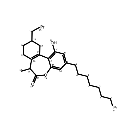 CC(C)CCCCCCCc1cc(O)c2c(c1)OC(=O)C(C)C1=C2CC(CC(C)C)CC1